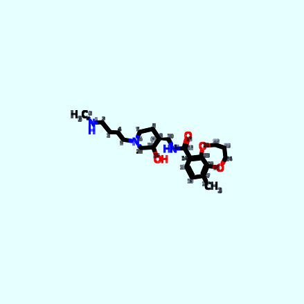 CNCCCCN1CC[C@@H](CNC(=O)c2ccc(C)c3c2OCCCO3)C(O)C1